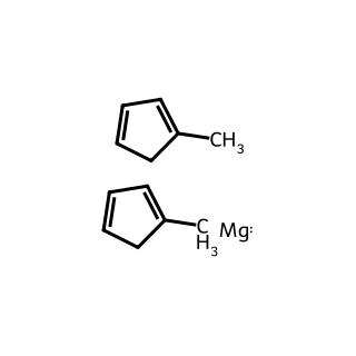 CC1=CC=CC1.CC1=CC=CC1.[Mg]